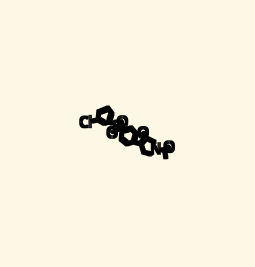 CC(=O)N1CCc2c(oc3cc(S(=O)(=O)c4cccc(Cl)c4)ccc23)C1